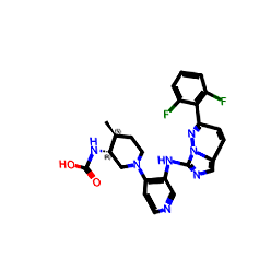 C[C@H]1CCN(c2ccncc2Nc2ncc3ccc(-c4c(F)cccc4F)nn23)C[C@@H]1NC(=O)O